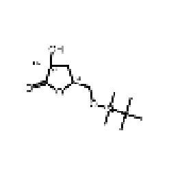 CC(C)(C)[Si](C)(C)OC[C@@H]1C[C@](C)(O)C(=O)O1